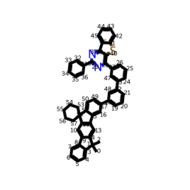 CC1(C)c2ccccc2-c2cc3c(cc21)-c1cc(-c2cccc(-c4cccc(-c5nc(-c6ccccc6)nc6c5sc5ccccc56)c4)c2)ccc1C31CCCCC1